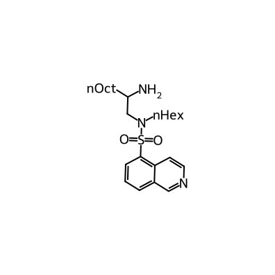 CCCCCCCCC(N)CN(CCCCCC)S(=O)(=O)c1cccc2cnccc12